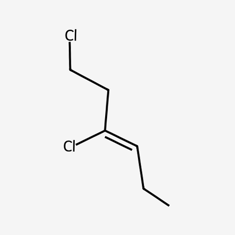 CCC=C(Cl)CCCl